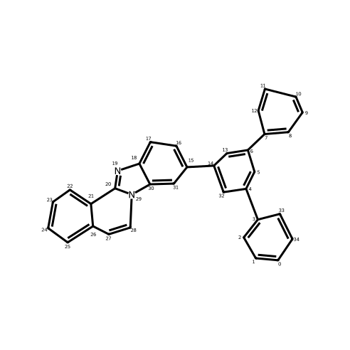 c1ccc(-c2cc(-c3ccccc3)cc(-c3ccc4nc5c6ccccc6ccn5c4c3)c2)cc1